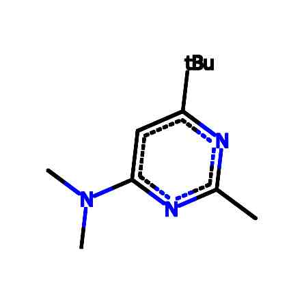 Cc1nc(N(C)C)cc(C(C)(C)C)n1